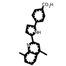 Cc1cc(-c2ccc(-c3ccc(C(=O)O)cc3)[nH]2)nc2c(C)cccc12